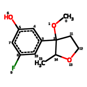 COC1(c2cc(O)cc(F)c2)CCOC1C